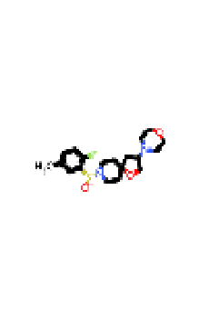 Cc1ccc(F)c([S+]([O-])N2CCC3(CC2)CC(N2CCOCC2)CO3)c1